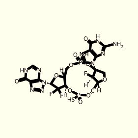 Nc1nc2c(ncn2[C@@]23CO[C@H](COP(=O)(S)O[C@@H]4[C@@H](COP(=O)(S)O2)O[C@@H](n2nnc5c(=O)[nH]cnc52)C4(F)F)[C@H]3F)c(=O)[nH]1